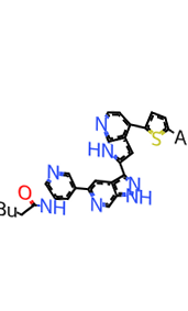 CC(=O)c1ccc(-c2ccnc3[nH]c(-c4n[nH]c5cnc(-c6cncc(NC(=O)CC(C)(C)C)c6)cc45)cc23)s1